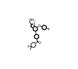 NCc1cc2cc(-c3ccc(C(=O)N4CCC(F)(F)CC4)cc3)cc(Oc3ccc(F)cc3)c2o1